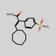 COC(=O)/C(=C/C1CCCCCCC1)c1ccc(S(C)(=O)=O)cc1